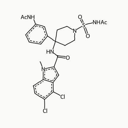 CC(=O)Nc1cccc(C2(NC(=O)c3cc4c(Cl)c(Cl)ccc4n3C)CCN(S(=O)(=O)NC(C)=O)CC2)c1